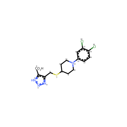 O=C(O)c1[nH]nnc1CSC1CCN(c2ccc(Cl)c(Cl)c2)CC1